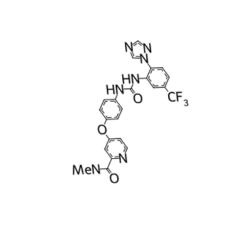 CNC(=O)c1cc(Oc2ccc(NC(=O)Nc3cc(C(F)(F)F)ccc3-n3cncn3)cc2)ccn1